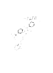 COC(=O)c1ccc2c(c1)N(CCCCCN1[C@H](C)CCC[C@@H]1C)C(=O)C(c1cccc(C(=N)N)c1)S2